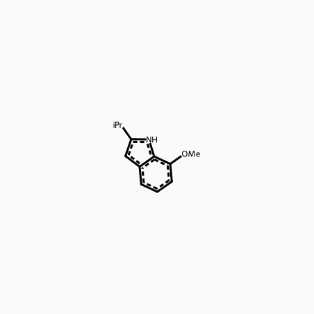 COc1cccc2cc(C(C)C)[nH]c12